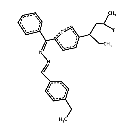 CCc1ccc(C=NN=C(c2ccccc2)c2ccc(C(CC)CC(C)F)cc2)cc1